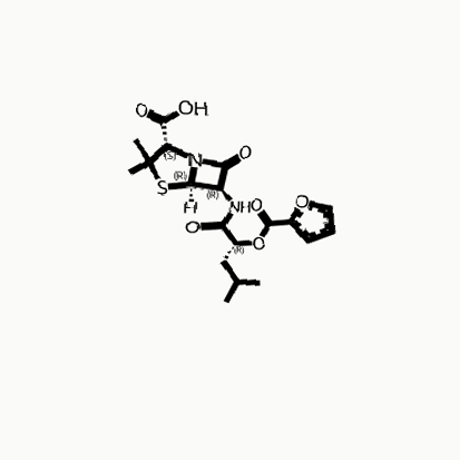 CC(C)C[C@@H](OC(=O)c1ccco1)C(=O)N[C@@H]1C(=O)N2[C@@H]1SC(C)(C)[C@@H]2C(=O)O